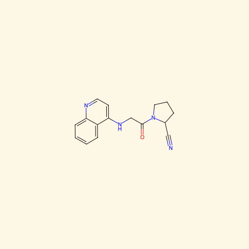 N#CC1CCCN1C(=O)CNc1ccnc2ccccc12